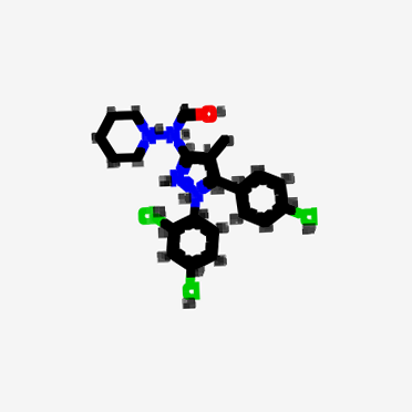 Cc1c(N(C=O)N2CCCCC2)nn(-c2ccc(Cl)cc2Cl)c1-c1ccc(Cl)cc1